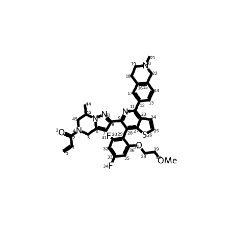 C=CC(=O)N1Cc2cc(-c3nc(-c4ccc5c(c4)CCN(C)C5)c4ccsc4c3-c3c(F)cc(F)cc3OCCOC)nn2C(C)C1